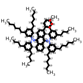 CCCCCCc1cc(CCCCCC)cc(N(c2cc(CCCC)cc(CCCC)c2)c2c3ccccc3c(N(c3cc(CCCC)cc(CCCC)c3)c3cc(CCCCCC)cc(CCCCCC)c3)c3cc(-c4ccccc4)ccc23)c1